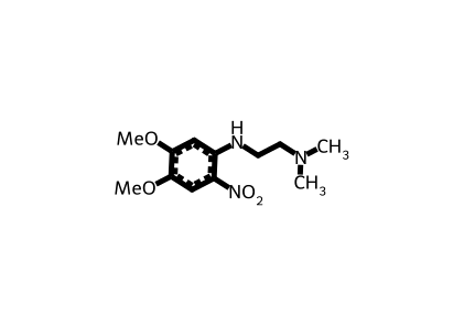 COc1cc(NCCN(C)C)c([N+](=O)[O-])cc1OC